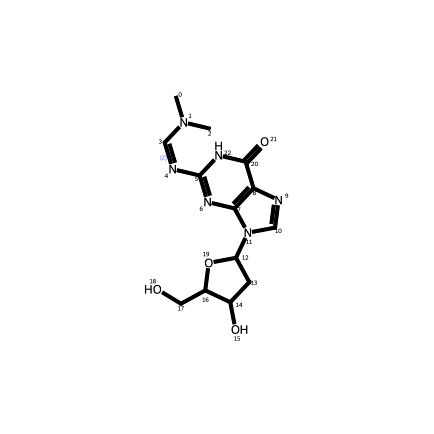 CN(C)/C=N\c1nc2c(ncn2C2CC(O)C(CO)O2)c(=O)[nH]1